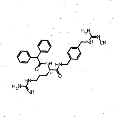 N#C/N=C(/N)NCc1ccc(CNC(=O)[C@@H](CCCNC(=N)N)NC(=O)C(c2ccccc2)c2ccccc2)cc1